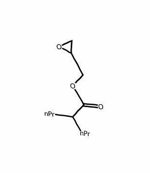 CCCC(CCC)C(=O)OCC1CO1